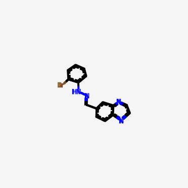 Brc1ccccc1NN=Cc1ccc2nccnc2c1